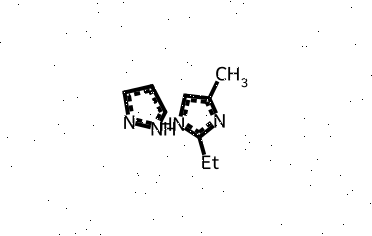 CCc1nc(C)c[nH]1.c1cn[nH]c1